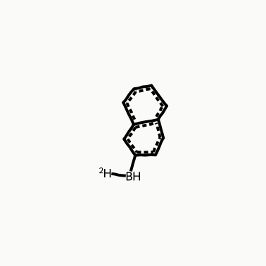 [2H]Bc1ccc2ccccc2c1